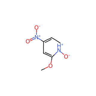 COC1=CC([N+](=O)[O-])=CC[NH+]1[O-]